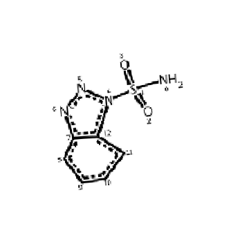 NS(=O)(=O)n1nnc2ccccc21